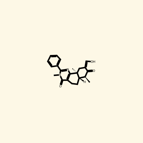 C[C@@H]1C(=O)/C(=C\O)C[C@]2(C)c3nc(-c4ccccc4)n(C)c(=O)c3CC[C@@H]12